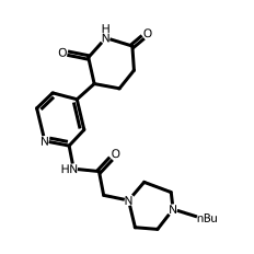 CCCCN1CCN(CC(=O)Nc2cc(C3CCC(=O)NC3=O)ccn2)CC1